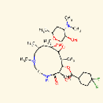 CC1C(O[C@@H]2O[C@H](C)C[C@H](N(C)C)[C@H]2O)[C@](C)(O)C[C@@H](C)CN(C)CCNC(=O)[C@H](C)[C@H]1OC(=O)C1CCC(F)(F)CC1